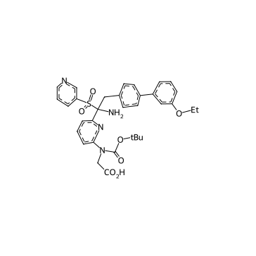 CCOc1cccc(-c2ccc(CC(N)(c3cccc(N(CC(=O)O)C(=O)OC(C)(C)C)n3)S(=O)(=O)c3cccnc3)cc2)c1